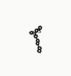 c1ccc(N(c2ccc(-c3ccc4cc(-c5ccc6ccccc6c5)ccc4c3)cc2)c2ccc3c(c2)sc2ccccc23)cc1